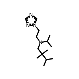 CC(C)N(CCn1cncn1)CC(C)(C)C(C)C